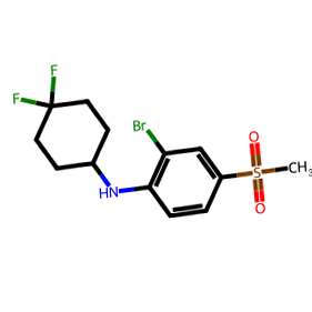 CS(=O)(=O)c1ccc(NC2CCC(F)(F)CC2)c(Br)c1